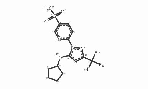 CS(=O)(=O)c1ccc(-n2nc(C(F)(F)F)cc2OC2CCCC2)nc1